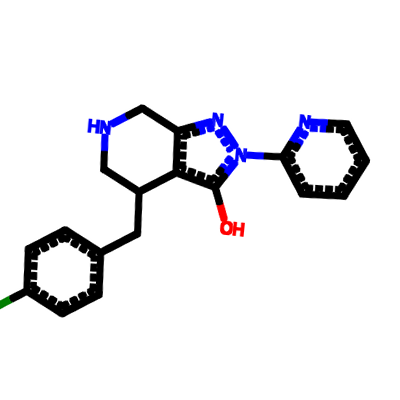 Oc1c2c(nn1-c1ccccn1)CNCC2Cc1ccc(F)cc1